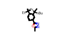 CCCCC(C)(CCC)c1cc(-c2nnc(C)o2)ccc1C(C)(C)CC